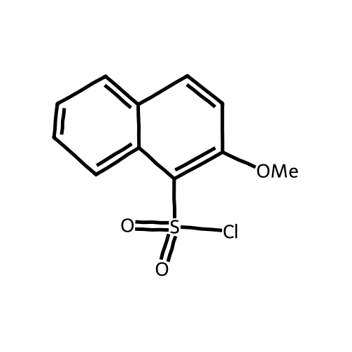 COc1ccc2ccccc2c1S(=O)(=O)Cl